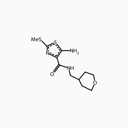 CSc1nc(C(=O)NCC2CCOCC2)c(N)s1